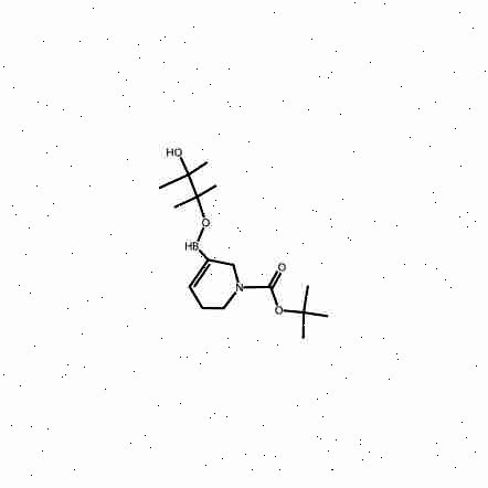 CC(C)(C)OC(=O)N1CCC=C(BOC(C)(C)C(C)(C)O)C1